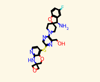 N[C@@H]1c2cc(F)ccc2OC12CCN(c1ncc(Sc3ccnc4c3OCC3(COC3)N4)nc1CO)CC2